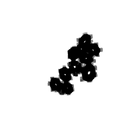 c1ccc(-c2nc(-c3cccc(-c4cccc5oc6ccccc6c45)c3)nc(-c3ccccc3-c3ccc4c(c3)-c3ccccc3C43c4ccccc4-c4ccccc43)n2)cc1